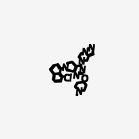 CN1CCC(Oc2nc3c(c(N4CCn5cncc5C4)n2)CCN(c2cccc4cccc(Cl)c24)C3)CC1